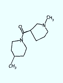 CC1CCN(C(=O)C2CCCN(C)C2)CC1